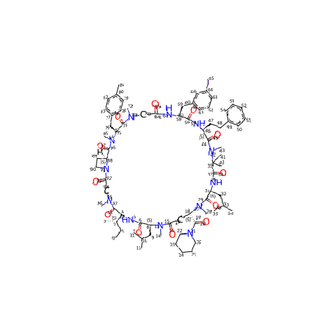 CC[C@H](C)[C@@H]1NC(=O)[C@H](CC(C)C)N(C)C(=O)C[C@@H](C(=O)N2CCCCC2)N(C)C(=O)[C@H](CC(C)C)NC(=O)C(C)(C)N(C)C(=O)[C@H](CCc2ccccc2)NC(=O)[C@H](Cc2cccc(I)c2)NC(=O)CN(C)C(=O)[C@H](Cc2ccc(C)cc2)N(C)C(=O)[C@@H]2CCN2C(=O)CN(C)C1=O